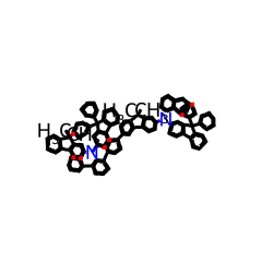 CC1(C)c2ccccc2-c2ccc(N(c3ccc4c(c3)C(c3ccccc3)(c3ccccc3)c3ccccc3-4)c3c(-c4ccccc4)cccc3-c3ccc(-c4ccc5c(c4)-c4ccc(N(c6ccc7c(c6)C(c6ccccc6)(c6ccccc6)c6ccccc6-7)c6cccc7ccccc67)cc4C5(C)C)cc3)cc21